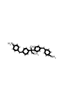 CCC(C)(c1ccc(Cc2ccc(N)cc2)cc1)c1ccc(Cc2ccc(N)cc2)cc1